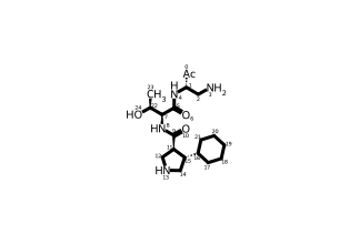 CC(=O)[C@H](CN)NC(=O)[C@@H](NC(=O)[C@@H]1CNC[C@H]1C1CCCCC1)[C@H](C)O